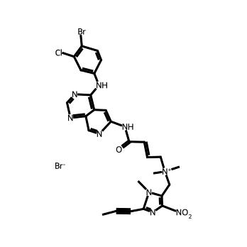 CC#Cc1nc([N+](=O)[O-])c(C[N+](C)(C)C/C=C/C(=O)Nc2cc3c(Nc4ccc(Br)c(Cl)c4)ncnc3cn2)n1C.[Br-]